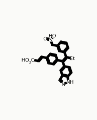 CC/C(=C(/c1ccc(/C=C/C(=O)O)cc1)c1ccc2[nH]ncc2c1)c1cccc(C[SH](=O)=O)c1